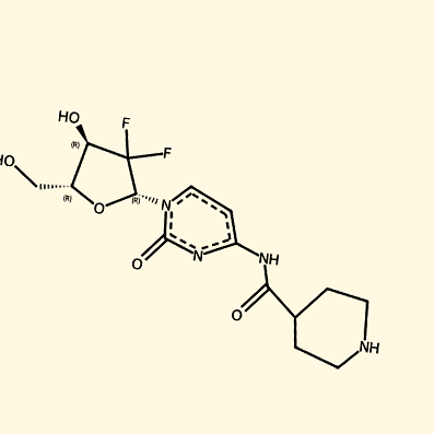 O=C(Nc1ccn([C@@H]2O[C@H](CO)[C@@H](O)C2(F)F)c(=O)n1)C1CCNCC1